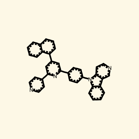 c1ccc2c(-c3cc(-c4ccncc4)nc(-c4ccc(-n5c6ccccc6c6cnccc65)cc4)c3)cccc2c1